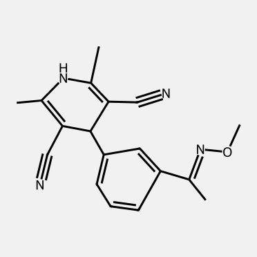 CON=C(C)c1cccc(C2C(C#N)=C(C)NC(C)=C2C#N)c1